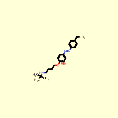 Br.CCc1ccc(N=Nc2ccc(OCCCCNC(C)(C)C)cc2)cc1